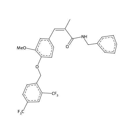 COc1cc(C=C(C)C(=O)NCc2ccccc2)ccc1OCc1ccc(C(F)(F)F)cc1C(F)(F)F